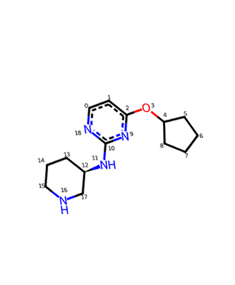 c1cc(OC2CCCC2)nc(N[C@@H]2CCCNC2)n1